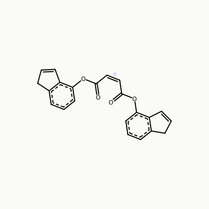 O=C(/C=C\C(=O)Oc1cccc2c1C=CC2)Oc1cccc2c1C=CC2